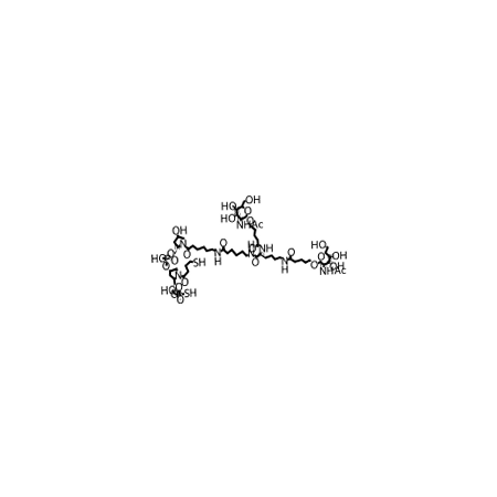 CC(=O)N[C@@H]1C(OCCCCC(=O)NCCCC[C@H](NC(=O)CCCCOC2OC(CO)[C@H](O)[C@H](O)[C@@H]2NC(C)=O)C(=O)NCCCCCC(=O)NCCCCCC(=O)N2CC(O)C[C@H]2COP(=O)(O)OC2CC(COP(=O)(S)OO)N(C(=O)CCCS)C2)OC(CO)[C@H](O)[C@@H]1O